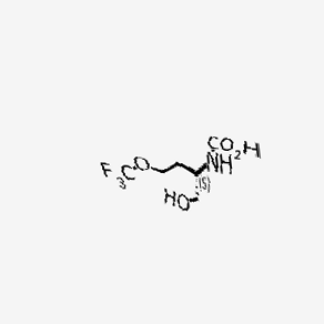 O=C(O)N[C@H](CO)CCOC(F)(F)F